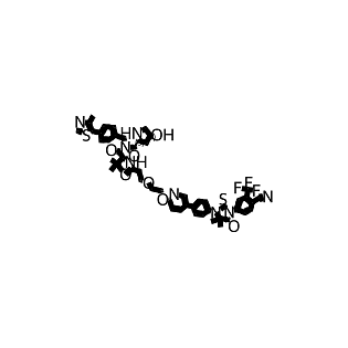 Cc1ncsc1-c1ccc(CN(C(=O)C(NC(=O)CCOCCOc2ccc(-c3ccc(N4C(=S)N(c5ccc(C#N)c(C(F)(F)F)c5)C(=O)C4(C)C)cc3)cn2)C(C)(C)C)C(=O)[C@@H]2C[C@@H](O)CN2)cc1